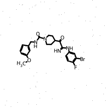 COc1cccc(CNC(=O)N2CCC(C(=O)C(=N)Nc3ccc(F)c(Br)c3)CC2)c1